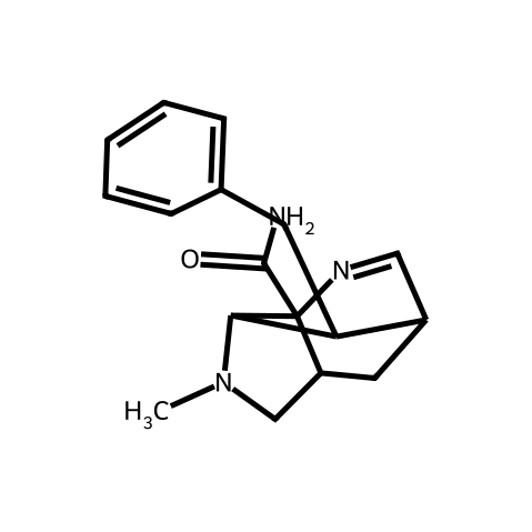 CN1CC2CC3C=NC2(C(N)=O)C1C3Cc1ccccc1